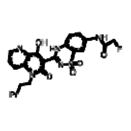 CC(C)CCn1c(=O)c(C2=NS(=O)(=O)c3cc(NC(=O)CF)ccc3N2)c(O)c2ncccc21